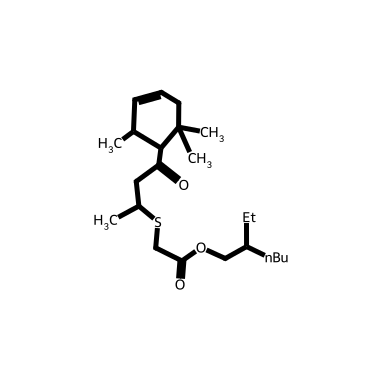 CCCCC(CC)COC(=O)CSC(C)CC(=O)C1C(C)C=CCC1(C)C